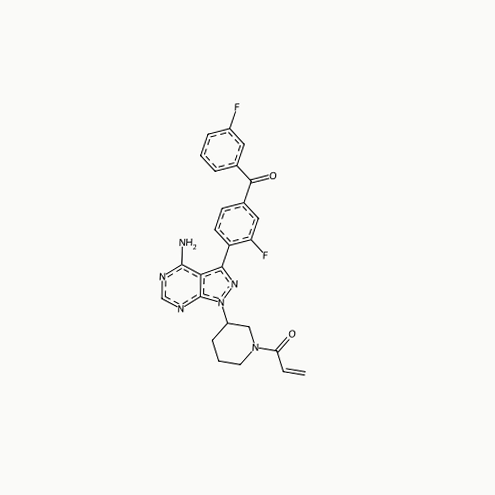 C=CC(=O)N1CCCC(n2nc(-c3ccc(C(=O)c4cccc(F)c4)cc3F)c3c(N)ncnc32)C1